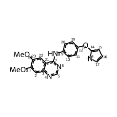 COc1cc2ncnc(Nc3ccc(OC4=CC=C[N]4)cc3)c2cc1OC